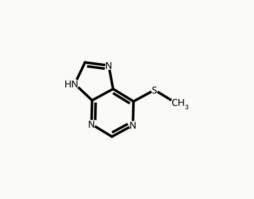 CSc1ncnc2[nH]cnc12